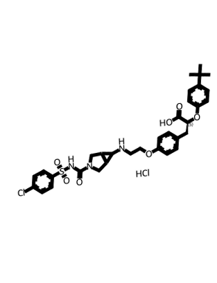 CC(C)(C)c1ccc(O[C@@H](Cc2ccc(OCCNC3C4CN(C(=O)NS(=O)(=O)c5ccc(Cl)cc5)CC43)cc2)C(=O)O)cc1.Cl